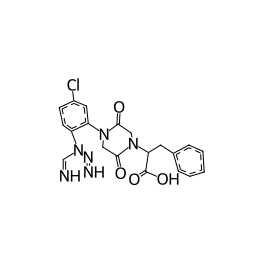 N=CN(N=N)c1ccc(Cl)cc1N1CC(=O)N(C(Cc2ccccc2)C(=O)O)CC1=O